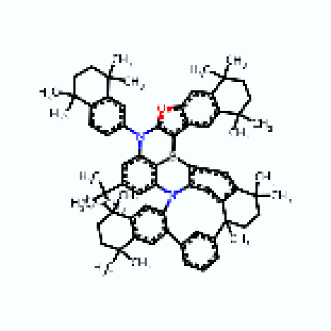 CC(C)(C)c1cc2c3c(c1)N(c1ccc4c(c1)C(C)(C)CCC4(C)C)c1oc4cc5c(cc4c1B3c1cc3c4cc1N2c1cc2c(cc1-c1cccc(c1)C4(C)CCC3(C)C)C(C)(C)CCC2(C)C)C(C)(C)CCC5(C)C